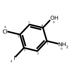 Nc1cc(I)c(Cl)cc1O